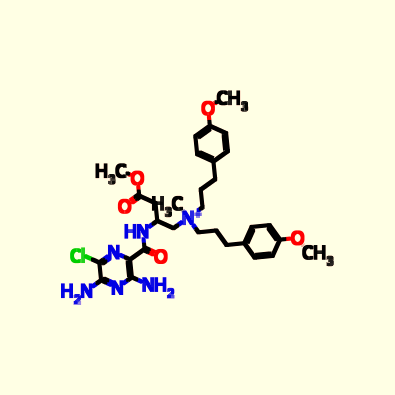 COC(=O)CC(C[N+](C)(CCCc1ccc(OC)cc1)CCCc1ccc(OC)cc1)NC(=O)c1nc(Cl)c(N)nc1N